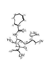 O=C(N[C@@H]1C(O)C[C@]2(C(=O)O)OC1[C@H]([C@H](O)CO)O2)C1CCCCC1